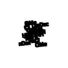 CCCCCCCCCCNC1=NC(C)(C)NC(NCc2ccc(OC)cc2)(OC(=O)C(=O)OC2(NCc3ccc(OC)cc3)NC(NCCCCCCCCCC)=NC(C)(C)N2)N1